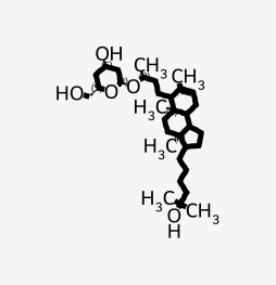 CC1=CCC2C3CCC(CCCCC(C)(C)O)[C@@]3(C)CC[C@@]2(C)C1CC[C@@H](C)O[C@H]1C[C@@H](O)C[C@@H](CO)O1